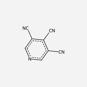 N#Cc1cncc(C#N)c1C#N